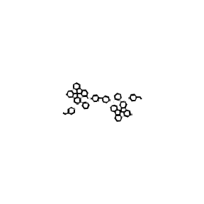 C=CC1=CCC(Oc2ccc(C3(C4=CCC(F)CC4)C4=C(C=CCC4)c4ccc(N(c5ccccc5)C5C=CC6=C(C5)SC5CC(N(C7=CCCC=C7)C7=CC8=C(CC7)C7=C(CCC=C7)C8(c7ccc(F)cc7)C7C=CC(OC8=CCC(C=C)C=C8)CC7)C=CC65)cc43)cc2)C=C1